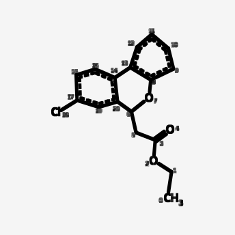 CCOC(=O)CC1Oc2ccccc2-c2ccc(Cl)cc21